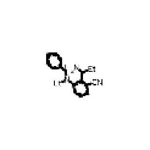 CCC(N)c1c(C#N)cccc1N(CC)Cc1ccccc1